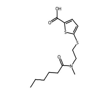 CCCCCC(=O)N(C)CCSc1ccc(C(=O)O)s1